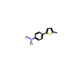 CCN(CC)c1ccc(-c2ccc(C)s2)cc1